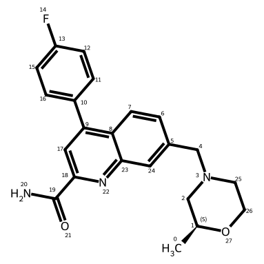 C[C@H]1CN(Cc2ccc3c(-c4ccc(F)cc4)cc(C(N)=O)nc3c2)CCO1